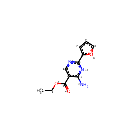 CCOC(=O)c1cnc(-c2ccco2)nc1N